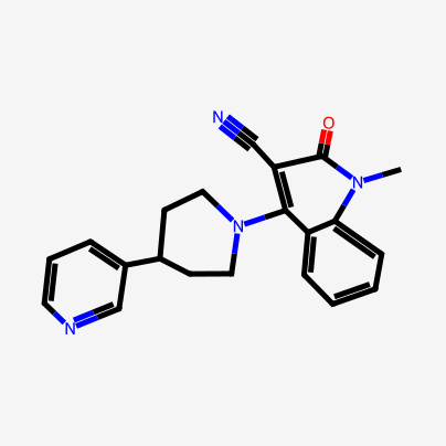 Cn1c(=O)c(C#N)c(N2CCC(c3cccnc3)CC2)c2ccccc21